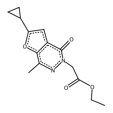 CCOC(=O)Cn1nc(C)c2oc(C3CC3)cc2c1=O